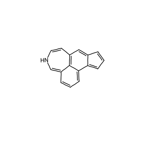 C1=Cc2cc3cc[nH]cc4cccc(c2=C1)c43